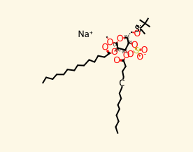 CCCCCCCCCCCCCC(=O)O[C@@H]1[C@@H](OC(=O)CCCCCCCCCCCCC)[C@@H](OC)O[C@H](CO[Si](C)(C)C(C)(C)C)[C@H]1OS(=O)(=O)[O-].[Na+]